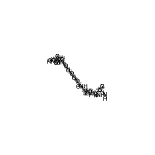 CNCCc1cc(-c2cc(-c3ccc(SN(CCCNC(=O)CCOCCOCCOCCOCCOCCNc4cccc5c4C(=O)N(C4CCC(=O)NC4=O)C5=O)C4CC4)cc3F)cnc2N)ccc1C=O